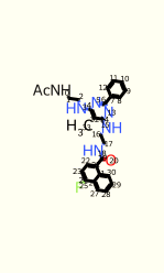 CC(=O)NCCNc1nc(-c2ccccc2)nc(NCCNC(=O)c2ccc(F)c3ccccc23)c1C